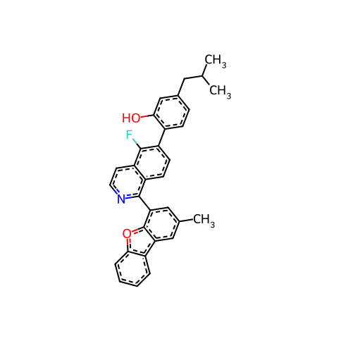 Cc1cc(-c2nccc3c(F)c(-c4ccc(CC(C)C)cc4O)ccc23)c2oc3ccccc3c2c1